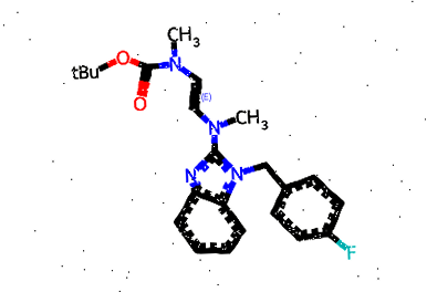 CN(/C=C/N(C)c1nc2ccccc2n1Cc1ccc(F)cc1)C(=O)OC(C)(C)C